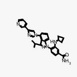 CC(C)c1nn(-c2ccc(C(N)=O)cc2NC2CCC2)c2cccc(-n3cnc(-c4cccnc4)c3)c12